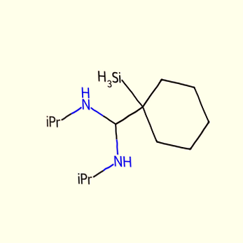 CC(C)NC(NC(C)C)C1([SiH3])CCCCC1